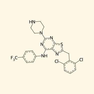 FC(F)(F)c1ccc(Nc2nc(N3CCNCC3)nc3sc(Cc4c(Cl)cccc4Cl)nc23)cc1